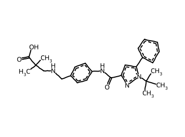 CC(C)(CNCc1ccc(NC(=O)c2cc(-c3ccccc3)n(C(C)(C)C)n2)cc1)C(=O)O